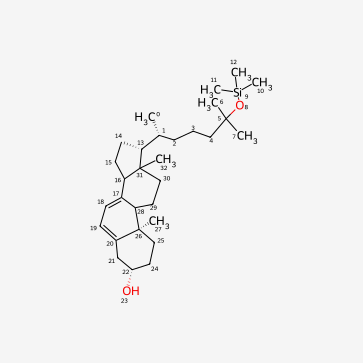 C[C@H](CCCC(C)(C)O[Si](C)(C)C)[C@H]1CCC2C3=CC=C4C[C@@H](O)CC[C@]4(C)C3CCC21C